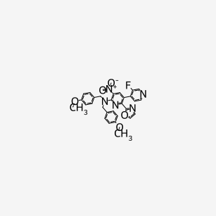 COc1ccc(CN(Cc2ccc(OC)cc2)c2nc(-c3ncco3)c(-c3ccncc3F)cc2[N+](=O)[O-])cc1